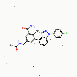 CC(C)(C)C(=O)NCc1cc(C(N)=O)c(C(F)(F)F)c(-c2cccc3c2cnn3-c2ccc(Cl)cc2)c1